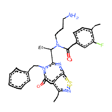 CCC(c1nc2snc(C)c2c(=O)n1Cc1ccccc1)N(CCCN)C(=O)c1ccc(C)c(F)c1